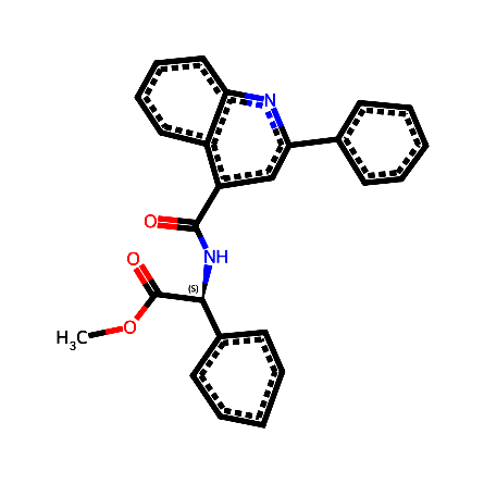 COC(=O)[C@@H](NC(=O)c1cc(-c2ccccc2)nc2ccccc12)c1ccccc1